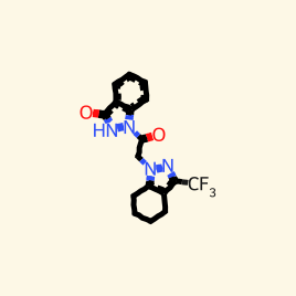 O=C(Cn1nc(C(F)(F)F)c2c1CCCC2)n1[nH]c(=O)c2ccccc21